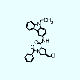 CCn1c2ccccc2c2cc(NC(=O)[C@@H]3C/C(=C\Cl)CN3C(=O)c3ccccc3)ccc21